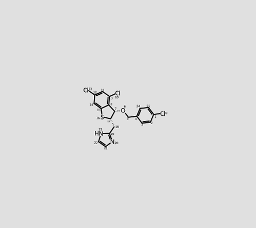 Clc1ccc(CO[C@H]2c3c(Cl)cc(Cl)cc3S[C@H]2Cc2ncc[nH]2)cc1